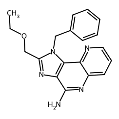 CCOCc1nc2c(N)nc3cccnc3c2n1Cc1ccccc1